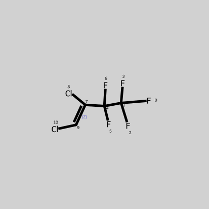 FC(F)(F)C(F)(F)/C(Cl)=C/Cl